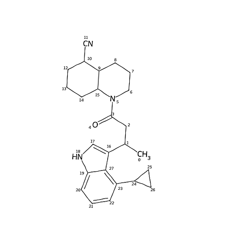 CC(CC(=O)N1CCCC2C(C#N)CCCC21)c1c[nH]c2cccc(C3CC3)c12